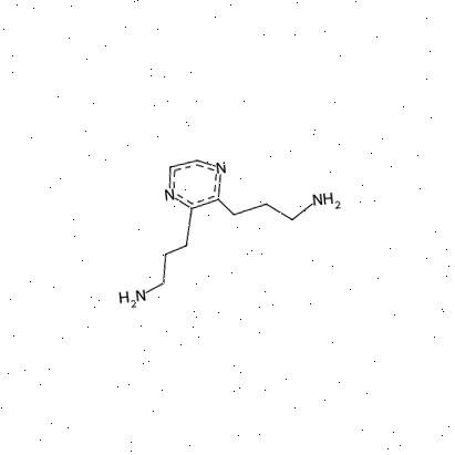 NCCCc1nccnc1CCCN